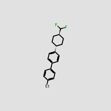 CCc1ccc(-c2ccc([C@H]3CC[C@H](C(F)F)CC3)cc2)cc1